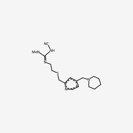 CN/C(=N/CCSCc1cc(CN2CCCCC2)ccn1)NC#N